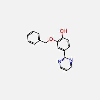 Oc1ccc(-c2ncccn2)cc1OCc1ccccc1